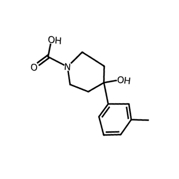 Cc1cccc(C2(O)CCN(C(=O)O)CC2)c1